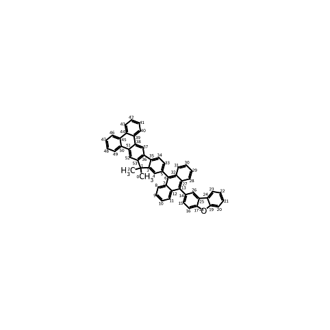 CC1(C)c2cc(-c3c4ccccc4c(-c4ccc5oc6ccccc6c5c4)c4ccccc34)ccc2-c2cc3c4ccccc4c4ccccc4c3cc21